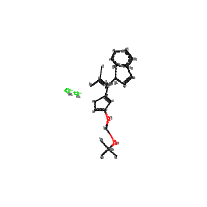 C[C](C)=[Zr+2]([C]1=CC(OCO[Si](C)(C)C)=CC1)[CH]1C=Cc2ccccc21.[Cl-].[Cl-]